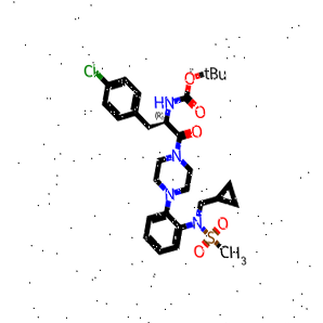 CC(C)(C)OC(=O)N[C@H](Cc1ccc(Cl)cc1)C(=O)N1CCN(c2ccccc2N(CC2CC2)S(C)(=O)=O)CC1